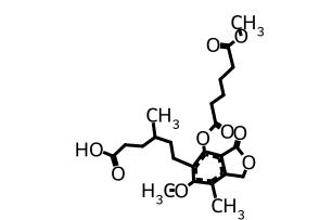 COC(=O)CCCCC(=O)Oc1c(CCC(C)CCC(=O)O)c(OC)c(C)c2c1C(=O)OC2